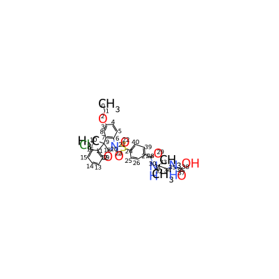 CCOc1ccc2c(c1)C(C)(c1ccccc1Cl)C(=O)N2S(=O)(=O)c1ccc(C(=O)NC(C)(C)CNC(=O)O)cc1